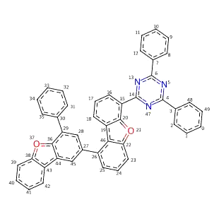 c1ccc(-c2nc(-c3ccccc3)nc(-c3cccc4c3oc3cccc(-c5cc(-c6ccccc6)c6oc7ccccc7c6c5)c34)n2)cc1